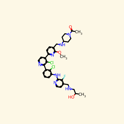 COc1nc(-c2ccnc(-c3cccc(Nc4nccc(CNCC(C)O)c4F)c3Cl)c2Cl)ccc1CNC1CCN(C(C)=O)CC1